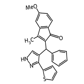 COc1ccc2c(c1)C(C)=C(C(c1ccccc1)c1c[nH]nc1-c1cccs1)C2=O